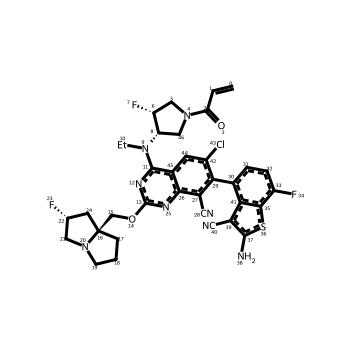 C=CC(=O)N1C[C@@H](F)[C@@H](N(CC)c2nc(OC[C@@]34CCCN3C[C@H](F)C4)nc3c(C#N)c(-c4ccc(F)c5sc(N)c(C#N)c45)c(Cl)cc23)C1